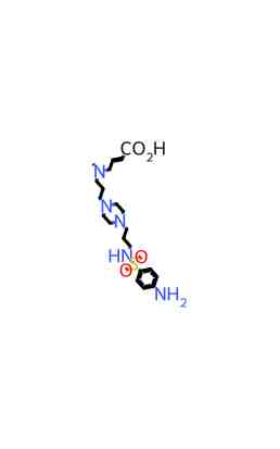 CN(C/C=C/C(=O)O)CCCN1CCN(CCCNS(=O)(=O)c2ccc(N)cc2)CC1